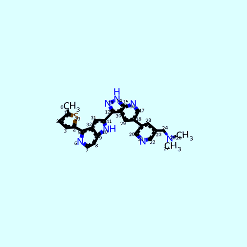 Cc1ccc(-c2nccc3[nH]c(-c4n[nH]c5ncc(-c6cncc(CN(C)C)c6)cc45)cc23)s1